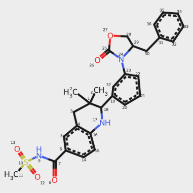 CC1(C)Cc2cc(C(=O)NS(C)(=O)=O)ccc2NC1c1cccc(N2C(=O)OCC2Cc2ccccc2)c1